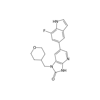 O=c1[nH]c2ncc(-c3cc(F)c4[nH]ccc4c3)cc2n1CC1CCOCC1